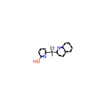 CCC(C)(c1cccc(O)n1)c1ccc2ccccc2n1